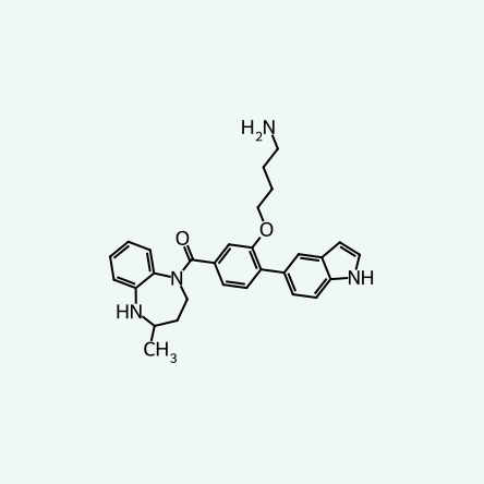 CC1CCN(C(=O)c2ccc(-c3ccc4[nH]ccc4c3)c(OCCCCN)c2)c2ccccc2N1